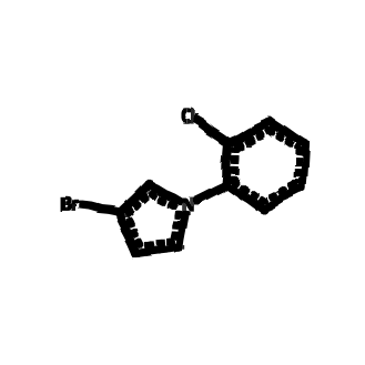 Clc1ccccc1-n1[c]cc(Br)c1